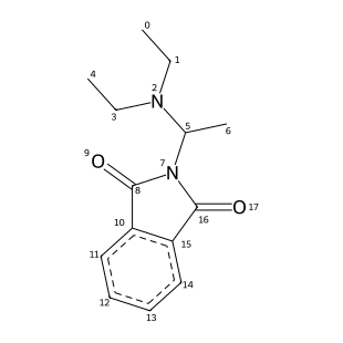 CCN(CC)C(C)N1C(=O)c2ccccc2C1=O